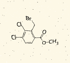 COC(=O)c1ccc(Cl)c(Cl)c1CBr